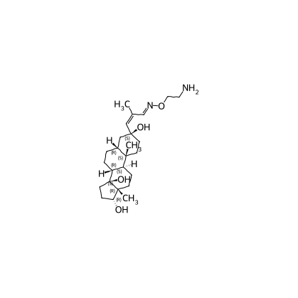 CC(C=NOCCN)=C[C@]1(O)CC[C@@]2(C)[C@H](CC[C@@H]3[C@@H]2CC[C@]2(C)[C@H](O)CC[C@]32O)C1